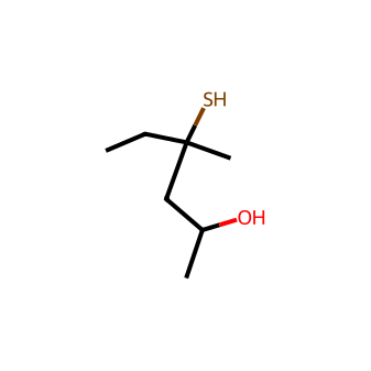 CCC(C)(S)CC(C)O